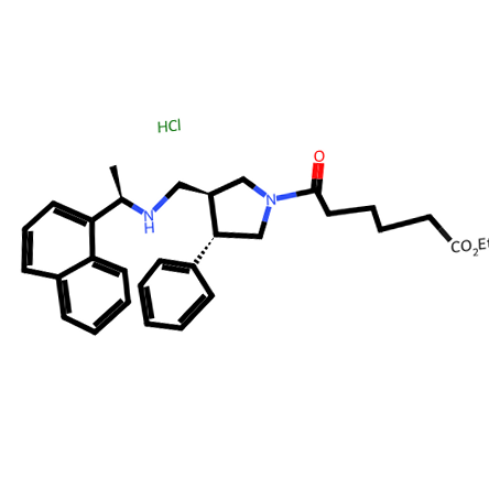 CCOC(=O)CCCCC(=O)N1C[C@H](CN[C@H](C)c2cccc3ccccc23)[C@@H](c2ccccc2)C1.Cl